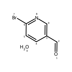 O.O=Cc1ccc(Br)nc1